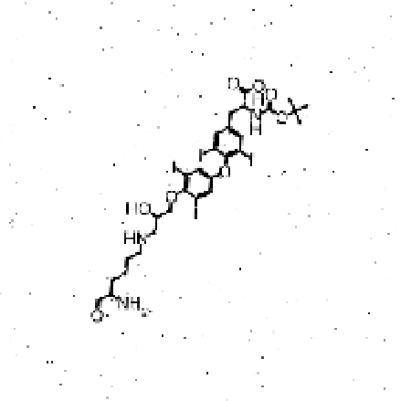 CC(C)(C)OC(=O)NC(Cc1cc(I)c(Oc2cc(I)c(OCC(O)CNCCCCC(N)C=O)c(I)c2)c(I)c1)C(=O)O